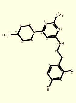 COc1nc(NCCc2ccc(Cl)cc2Cl)cc(N2CCC(C(=O)O)CC2)n1